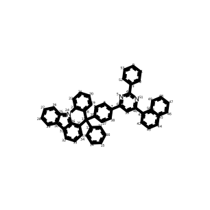 c1ccc(-c2nc(-c3ccc(C4(c5ccccc5)c5ccccc5-n5c6ccccc6c6cccc4c65)cc3)cc(-c3cccc4ccccc34)n2)cc1